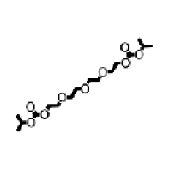 CC(C)OC(=O)OCCOCCOCCOCCOC(=O)OC(C)C